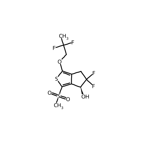 CC(F)(F)COc1sc(S(C)(=O)=O)c2c1CC(F)(F)[C@H]2O